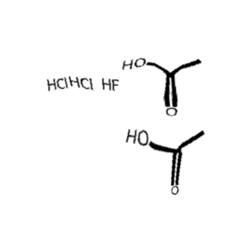 CC(=O)O.CC(=O)O.Cl.Cl.F